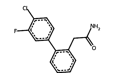 NC(=O)Cc1ccccc1-c1ccc(Cl)c(F)c1